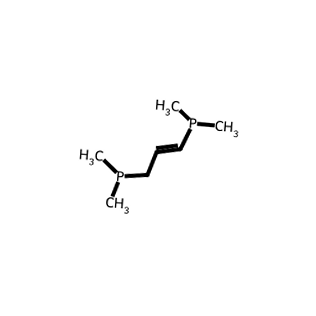 CP(C)C=CCP(C)C